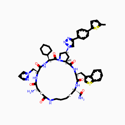 Cc1ccc(-c2ccc(-c3cn([C@H]4C[C@H]5C(=O)N[C@@H](Cc6csc7ccccc67)C(=O)N[C@H](C(N)=O)CCCCNC(=O)C[C@H](N)C(=O)N[C@@H](Cn6cccn6)C(=O)N[C@@H](C6CCCCC6)C(=O)N5C4)nn3)cc2)s1